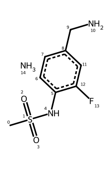 CS(=O)(=O)Nc1ccc(CN)cc1F.N